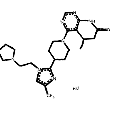 CC1CC(=O)Nc2ncnc(N3CCC(c4nc(C(F)(F)F)cn4CCN4CCCC4)CC3)c21.Cl